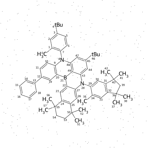 Cc1cc(C(C)(C)C)ccc1N1c2ccc(-c3ccccc3)cc2B2c3cc4c(cc3N(c3cc5c(cc3C)C(C)(C)CC5(C)C)c3cc(C(C)(C)C)cc1c32)C(C)(C)CCC4(C)C